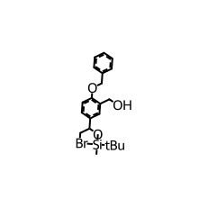 CC(C)(C)[Si](C)(C)OC(CBr)c1ccc(OCc2ccccc2)c(CO)c1